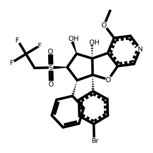 COc1cncc2c1[C@]1(O)[C@H](O)[C@H](S(=O)(=O)CC(F)(F)F)[C@@H](C3C=CC=CC3)[C@]1(c1ccc(Br)cc1)O2